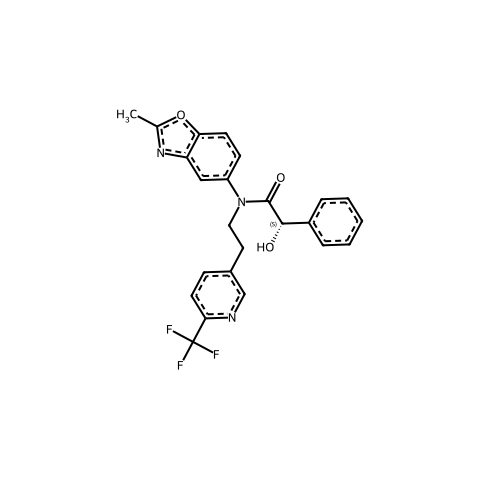 Cc1nc2cc(N(CCc3ccc(C(F)(F)F)nc3)C(=O)[C@@H](O)c3ccccc3)ccc2o1